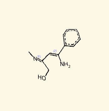 C/N=C(\C=C(/N)c1ccccc1)CO